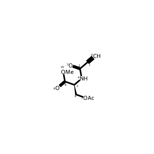 C#CC(=O)N[C@@H](COC(C)=O)C(=O)OC